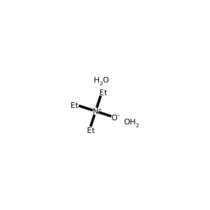 CC[N+]([O-])(CC)CC.O.O